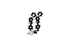 O=C(O)C1CN(Cc2ccc(-c3cc4cc(N5CCCCC5)ccc4o3)cc2)C1.O=Cc1ccc(-c2cc3cc(N4CCCCC4)ccc3o2)cc1